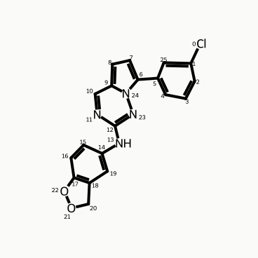 Clc1cccc(-c2ccc3cnc(Nc4ccc5c(c4)COO5)nn23)c1